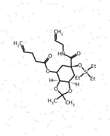 C=CCCC(=O)OC1C[C@](O[Si](CC)(CC)CC)(C(=O)NCC=C)C[C@H]2OC(C)(C)O[C@@H]12